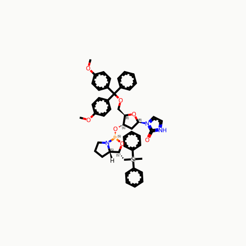 COc1ccc(C(OC[C@H]2O[C@@H](n3cc[nH]c3=O)C[C@@H]2O[P@]2O[C@H](C[Si](C)(c3ccccc3)c3ccccc3)[C@@H]3CCCN32)(c2ccccc2)c2ccc(OC)cc2)cc1